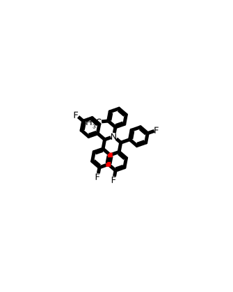 Cc1ccccc1N(C(c1ccc(F)cc1)c1ccc(F)cc1)C(c1ccc(F)cc1)c1ccc(F)cc1